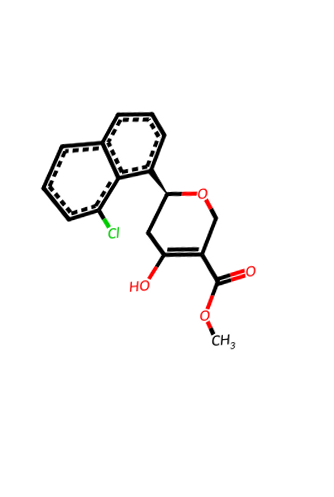 COC(=O)C1=C(O)C[C@@H](c2cccc3cccc(Cl)c23)OC1